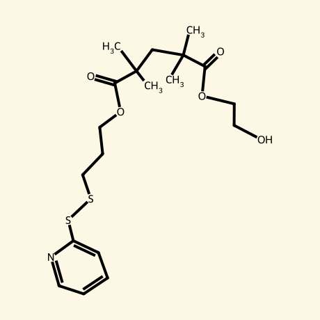 CC(C)(CC(C)(C)C(=O)OCCCSSc1ccccn1)C(=O)OCCO